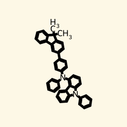 CC1(C)c2ccccc2-c2cc(-c3ccc(N(c4ccccc4)c4cccc5c4c4ccccc4n5-c4ccccc4)cc3)ccc21